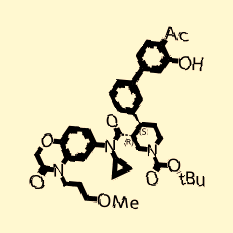 COCCCN1C(=O)COc2ccc(N(C(=O)[C@H]3CN(C(=O)OC(C)(C)C)CC[C@@H]3c3cccc(-c4ccc(C(C)=O)c(O)c4)c3)C3CC3)cc21